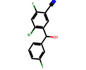 N#Cc1cc(C(O)c2cccc(F)c2)c(Br)cc1F